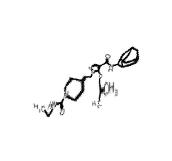 CCNC(=O)N1CCC(CCn2ncc(C(=O)NC3C4CC5CC(C4)CC3C5)c2OCC(C)C)CC1